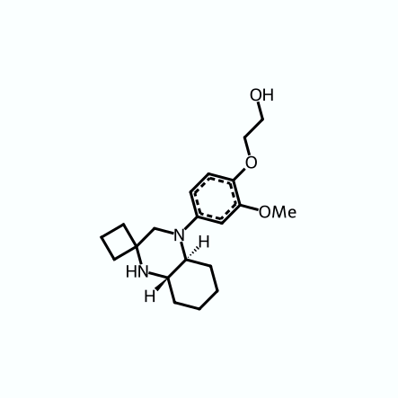 COc1cc(N2CC3(CCC3)N[C@H]3CCCC[C@@H]32)ccc1OCCO